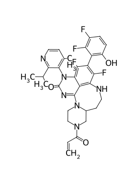 C=CC(=O)N1CCN2c3nc(=O)n(-c4c(C)ccnc4C(C)C)c4c(F)c(-c5c(O)ccc(F)c5F)c(F)c(c34)NCCC2C1